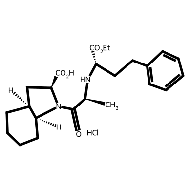 CCOC(=O)[C@H](CCc1ccccc1)N[C@@H](C)C(=O)N1[C@H](C(=O)O)C[C@@H]2CCCC[C@@H]21.Cl